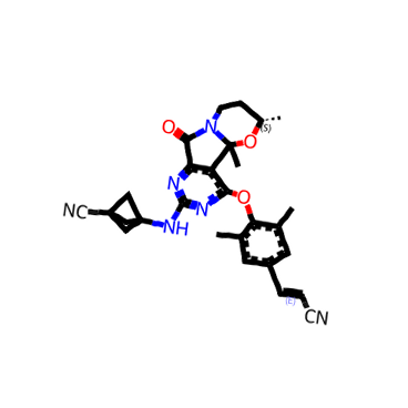 Cc1cc(/C=C/C#N)cc(C)c1Oc1nc(NC23CC(C#N)(C2)C3)nc2c1C1(C)O[C@@H](C)CCN1C2=O